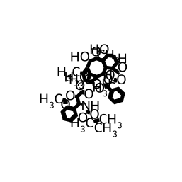 CC(=O)OC(C(=O)O[C@H]1C[C@@]2(O)[C@@H](OC(=O)c3ccccc3)[C@@H]3[C@]4(OC(C)=O)CO[C@@H]4C[C@H](O)[C@@]3(C)C(=O)[C@H](O)C(=C1C)C2(C)C)[C@@H](NC(=O)OC(C)(C)C)c1ccccc1